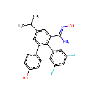 CC(C)c1cc(/C(N)=N/O)c(-c2cc(F)cc(F)c2)c(-c2ccc(O)cc2)c1